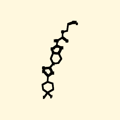 C=CCOC(=O)Nc1nc2c(s1)CN(c1nc(C3CCC(F)(F)CC3)no1)CC2